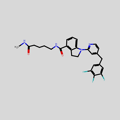 CNC(=O)CCCCNC(=O)c1cccc2c1CCN2c1cc(Cc2cc(F)c(F)c(F)c2)ccn1